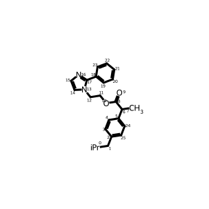 CC(C)Cc1ccc(C(C)C(=O)OCCn2ccnc2-c2ccccc2)cc1